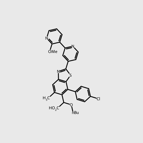 CCCCOC(C(=O)O)c1c(C)cc2nc(-c3ccnc(-c4cccnc4OC)c3)sc2c1-c1ccc(Cl)cc1